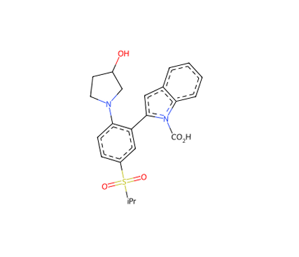 CC(C)S(=O)(=O)c1ccc(N2CCC(O)C2)c(-c2cc3ccccc3n2C(=O)O)c1